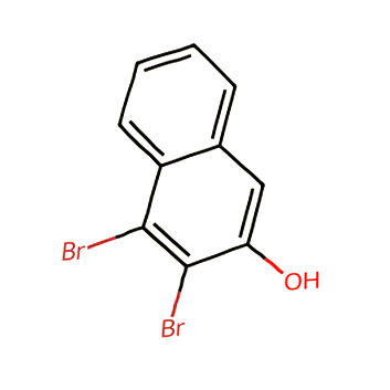 Oc1cc2ccccc2c(Br)c1Br